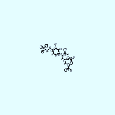 CC(=O)OC[C@@H](CN(C(C)=O)c1ccc(CCS(=O)(=O)Cl)c(C)c1)OC(C)=O